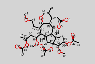 CCC[C@H]1[C@H](OC(C)=O)[C@H]2[C@@H](C)[C@@](OC(C)=O)([C@@H](OC)[C@@H](C)OC(C)=O)C[C@H]2C([C@H](C[C@H](C)OC(C)=O)OC)[C@@H](CCOC)[C@H]1OC